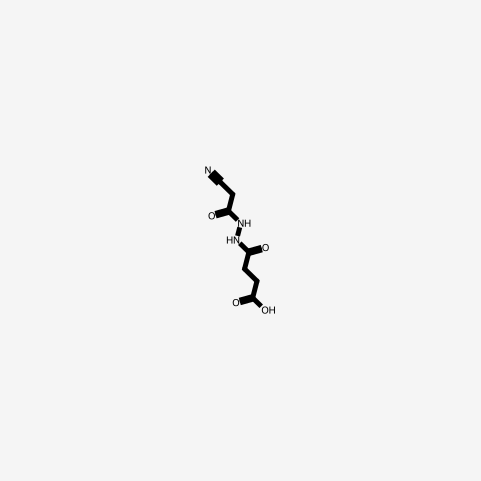 N#CCC(=O)NNC(=O)CCC(=O)O